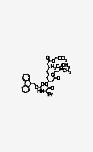 CC(C)C(NC(=O)OCC1c2ccccc2-c2ccccc21)C(=O)OC(CC=CCCC(=O)OCC(Cl)(Cl)Cl)CC(=O)OCC[Si](C)(C)C